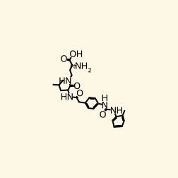 Cc1ccccc1NC(=O)Nc1ccc(CC(=O)NC(CC(C)C)C(=O)NCC[C@@H](N)C(=O)O)cc1